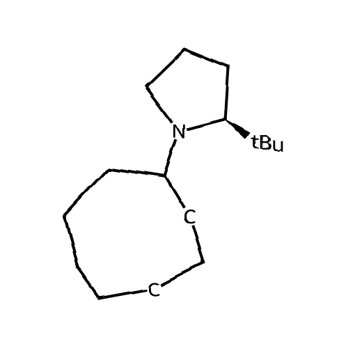 CC(C)(C)[C@@H]1CCCN1C1CCCCCCC1